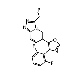 CC(C)Cc1nnc2ccc(-c3ocnc3-c3c(F)cccc3F)cn12